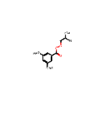 CCCCC([CH]OOC(=O)c1cc(OC)cc(OC)c1)CC